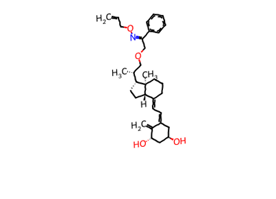 C=CCON=C(COC[C@@H](C)[C@H]1CC[C@H]2/C(=C/C=C3/C[C@@H](O)C[C@H](O)C3=C)CCC[C@]12C)c1ccccc1